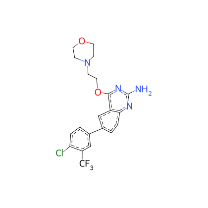 Nc1nc(OCCN2CCOCC2)c2cc(-c3ccc(Cl)c(C(F)(F)F)c3)ccc2n1